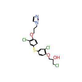 OC(CCl)COc1ccc(Sc2ccc(OCCCn3ccnc3)c(Cl)c2)cc1Cl